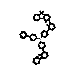 CC1(C)c2ccccc2-c2c1ccc1c2oc2c(-c3ccc(N(c4ccc(-c5cccc6c5sc5ccccc56)cc4)C4C=CC(c5ccccc5)=CC4)cc3)cccc21